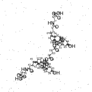 C[C@@H](CCC(=O)NCCS(=O)(=O)O)[C@H]1CC[C@H]2[C@@H]3[C@@H](OC(=O)CCCC(=O)O[C@H]4CC5C[C@H](O)CC[C@]5(C)[C@H]5CC[C@]6(C)[C@@H]([C@@H](C)CCC(=O)NCCS(=O)(=O)O)CC[C@H]6[C@H]45)CC4C[C@H](O)CC[C@]4(C)[C@H]3CC[C@]12C